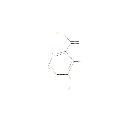 COc1ccnc(C(N)=O)c1N